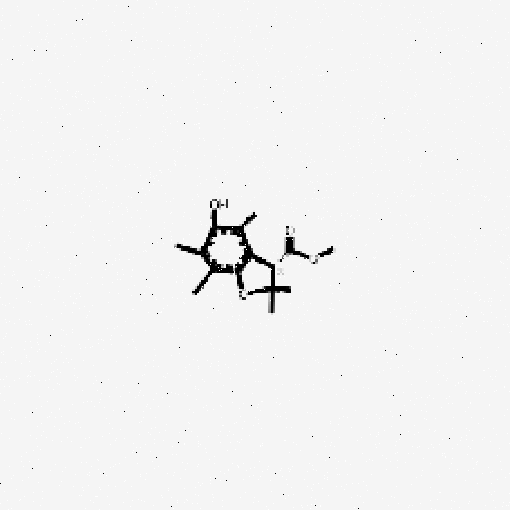 COC(=O)[C@H]1c2c(C)c(O)c(C)c(C)c2OC1(C)C